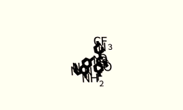 Cn1ncc2c(N)nc3cc(CN(C(=O)c4ccc(C(F)(F)F)nc4)c4ccc(F)cc4S(C)(=O)=O)ccc3c21